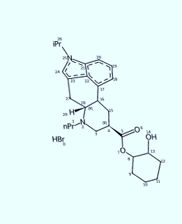 Br.CCCN1C[C@H](C(=O)OC2CCCCC2O)CC2c3cccc4c3c(cn4C(C)C)C[C@H]21